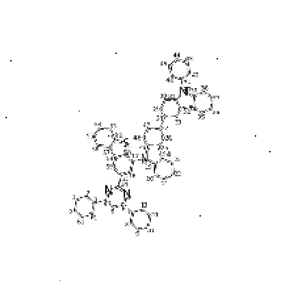 c1ccc(-c2cc(-c3ccccc3)nc(-c3cc(-n4c5ccccc5c5cc(-c6ccc7c(c6)c6ccccc6n7-c6ccccc6)ccc54)c4sc5ccccc5c4c3)n2)cc1